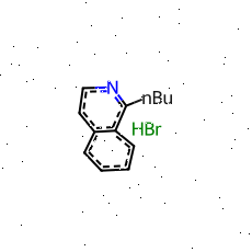 Br.CCCCc1nccc2ccccc12